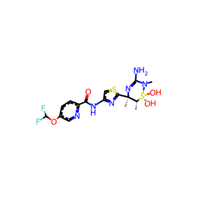 C[C@@H]1[C@@](C)(c2nc(NC(=O)c3ccc(OC(F)F)cn3)cs2)N=C(N)N(C)S1(O)O